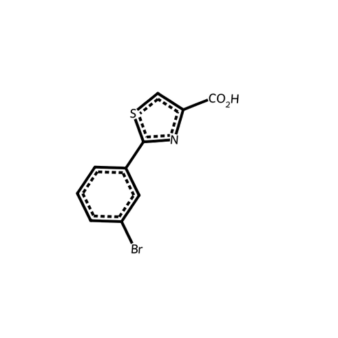 O=C(O)c1csc(-c2cccc(Br)c2)n1